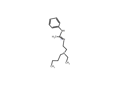 CCCCN(CC)CC/N=C(\C)Nc1ccccc1